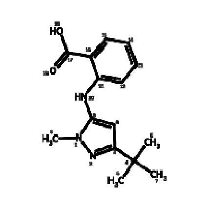 Cn1nc(C(C)(C)C)cc1Nc1ccccc1C(=O)O